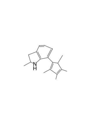 CC1=C(C)C(C)C(c2cccc3c2NC(C)C3)=C1C